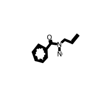 C=CCN([N])C(=O)c1ccccc1